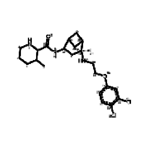 CC1CCCNC1C(=O)NC1C[C@H](NCCOc2ccc(Cl)c(Cl)c2)C2CC1C2